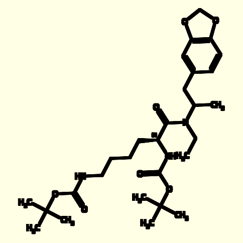 CCN(C(=O)[C@H](CCCCNC(=O)OC(C)(C)C)NC(=O)OC(C)(C)C)C(C)Cc1ccc2c(c1)OCO2